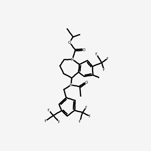 CC(=O)N(Cc1cc(C(F)(F)F)cc(C(F)(F)F)c1)C1CCCN(C(=O)OC(C)C)c2cc(C(F)(F)F)c(C)cc21